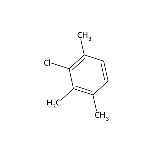 Cc1[c]cc(C)c(C)c1Cl